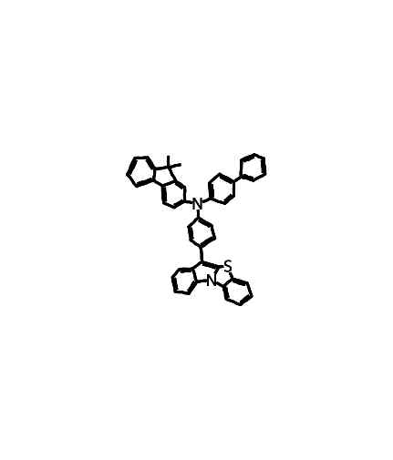 CC1(C)c2ccccc2-c2ccc(N(c3ccc(-c4ccccc4)cc3)c3ccc(-c4c5ccccc5n5c4sc4ccccc45)cc3)cc21